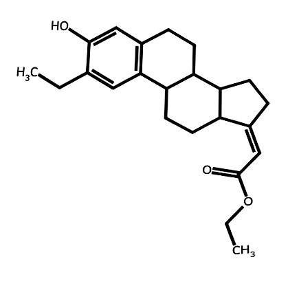 CCOC(=O)/C=C1/CCC2C1CCC1c3cc(CC)c(O)cc3CCC12